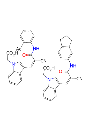 CC(=O)c1ccccc1NC(=O)C(C#N)=Cc1cn(CC(=O)O)c2ccccc12.N#CC(=Cc1cn(CC(=O)O)c2ccccc12)C(=O)Nc1ccc2c(c1)CCC2